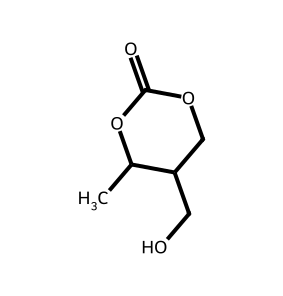 CC1OC(=O)OCC1CO